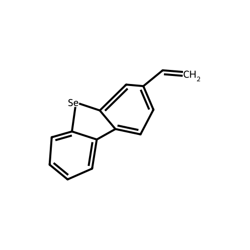 C=Cc1ccc2c(c1)[se]c1ccccc12